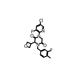 Cc1ccc(CN2C(=O)CN(c3ncc(Cl)cc3F)C(=O)C2C2COC2)cc1F